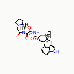 CN1C[C@H](C(=O)N[C@@H]2O[C@H]3[C@@H]4CCCN4CC(=O)N3C2=O)C=C2c3cccc4[nH]cc(c34)C[C@H]21